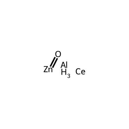 [AlH3].[Ce].[O]=[Zn]